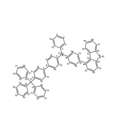 c1ccc(N(c2ccc(-c3ccc(C(c4ccccc4)(c4ccccc4)c4ccccc4)cc3)cc2)c2ccc(-c3cccc4sc5ccccc5c34)cc2)cc1